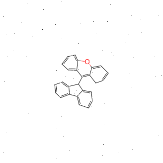 C1=CCC2=C(C3c4ccccc4-c4ccccc43)c3ccccc3OC2=C1